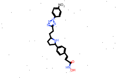 O=C(/C=C/c1ccc(C2CCC(CCc3nnn(-c4ccc([N+](=O)[O-])cc4)n3)N2)cc1)NO